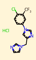 Cl.FC(F)(F)c1cc(-n2cnc(Cn3ccnc3)c2)ccc1Cl